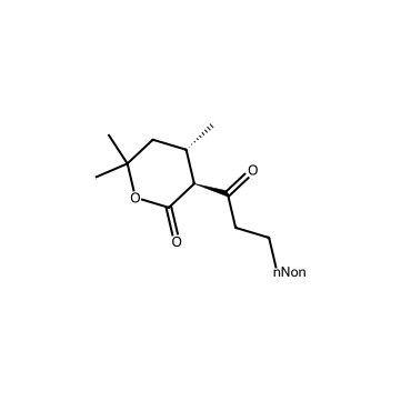 CCCCCCCCCCCC(=O)[C@H]1C(=O)OC(C)(C)C[C@@H]1C